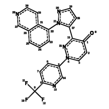 O=c1ccn(-c2ccc(C(F)(F)F)nc2)nc1-c1ccnn1-c1cccc2cnccc12